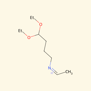 C/C=N\CCCC(OCC)OCC